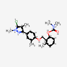 Cc1cc(-c2nn(C)c(Cl)c2C)ccc1OCc1c(C)cccc1OC(=O)N(C)C